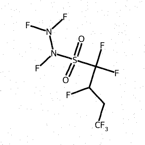 O=S(=O)(N(F)N(F)F)C(F)(F)C(F)CC(F)(F)F